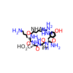 CC(=O)N[C@@H](CCCNC(=N)N)C(=O)N[C@@H](CCCCN)C(=O)N[C@@H](CC(=O)O)C(=O)N[C@H](C(=O)N[C@@H](Cc1ccc(O)cc1)C(N)=O)C(C)C